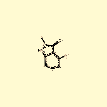 Cn1[nH]c2cccc(Br)c2c1=O